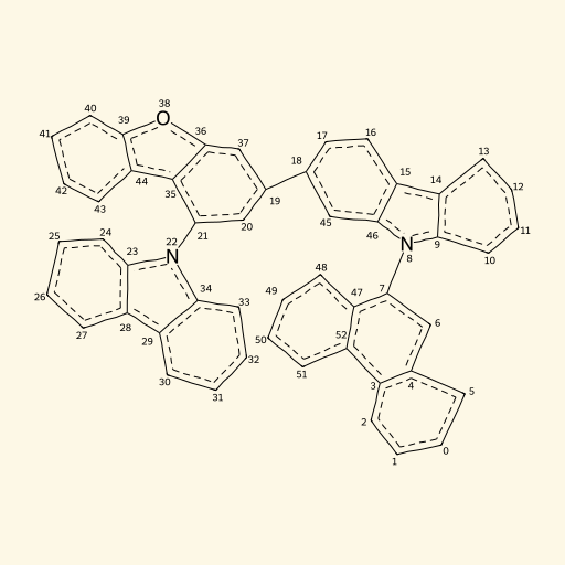 c1ccc2c(c1)cc(-n1c3ccccc3c3ccc(-c4cc(-n5c6ccccc6c6ccccc65)c5c(c4)oc4ccccc45)cc31)c1ccccc12